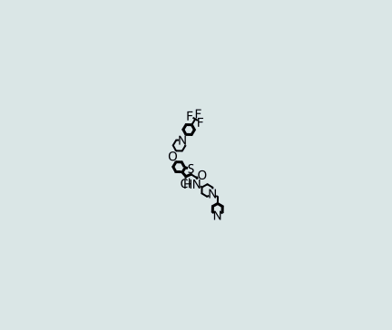 O=C(NC1CCN(Cc2ccncc2)CC1)c1sc2cc(OC3CCN(c4ccc(C(F)(F)F)cc4)CC3)ccc2c1Cl